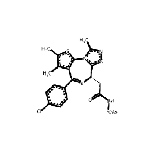 CNNC(=O)C[C@@H]1N=C(c2ccc(Cl)cc2)c2c(sc(C)c2C)-n2c(C)nnc21